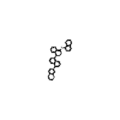 C1=Cc2ccc(-c3cccc4c(C5=c6ccccc6=C(Sc6cccc7ccccc67)CC5)cccc34)cc2CC1